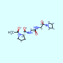 CC(=O)N1CCC[C@H]1C(=O)NCC(=O)NCC(=O)N1CCCC1